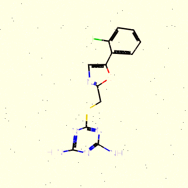 Nc1nc(N)nc(SCc2ncc(-c3ccccc3Cl)o2)n1